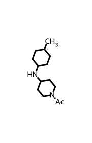 CC(=O)N1CCC(NC2CCC(C)CC2)CC1